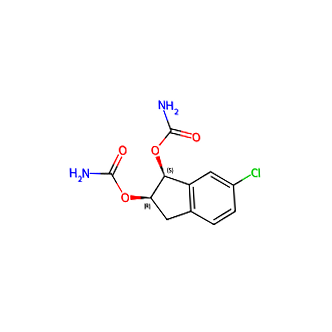 NC(=O)O[C@@H]1Cc2ccc(Cl)cc2[C@@H]1OC(N)=O